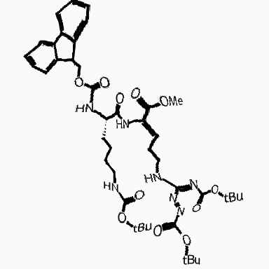 COC(=O)/C(=C/CCN/C(N=NC(=O)OC(C)(C)C)=N/C(=O)OC(C)(C)C)NC(=O)[C@H](CCCCNC(=O)OC(C)(C)C)NC(=O)OCC1c2ccccc2-c2ccccc21